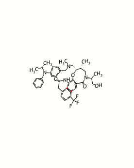 CC(CO)N1C[C@@H](C)[C@@H](CN(C)Cc2ccc(N(c3ccccc3)C(C)C)cc2)Oc2c(NC(=O)Cc3ccc(C(F)(F)F)cc3)cccc2C1=O